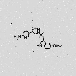 COc1ccc2[nH]cc(CC(C)(C)NCC(O)c3ccc(N)nc3)c2c1